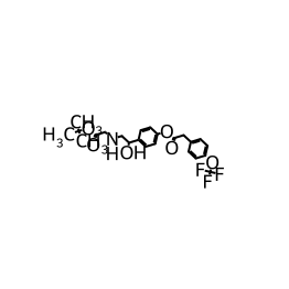 CC(C)(C)OC(=O)CNCC(O)c1ccc(OC(=O)Cc2ccc(OC(F)(F)F)cc2)cc1